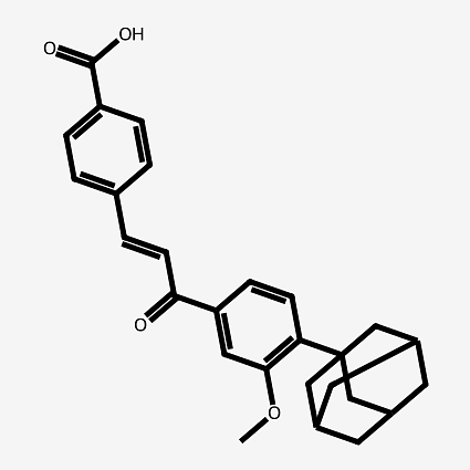 COc1cc(C(=O)/C=C/c2ccc(C(=O)O)cc2)ccc1C12CC3CC(CC(C3)C1)C2